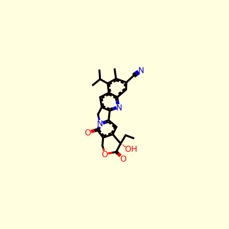 CC[C@@]1(O)C(=O)OCc2c1cc1n(c2=O)Cc2cc3c(C(C)C)c(C)c(C#N)cc3nc2-1